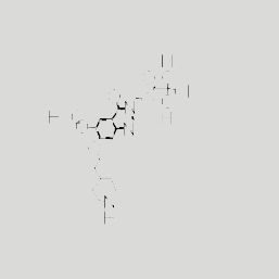 COc1cc2c(=O)n(COC(=O)C(C)(C)C)cnc2cc1OCCC1CCNCC1